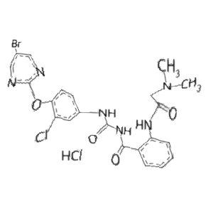 CN(C)CC(=O)Nc1ccccc1C(=O)NC(=O)Nc1ccc(Oc2ncc(Br)cn2)c(Cl)c1.Cl